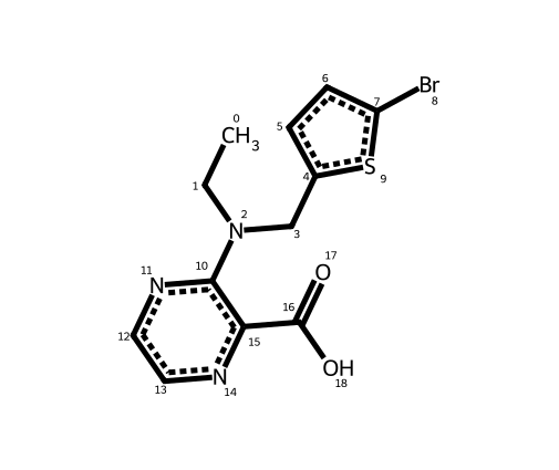 CCN(Cc1ccc(Br)s1)c1nccnc1C(=O)O